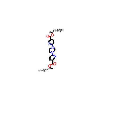 CCCCCCC[C@@H](C)OC(=O)c1ccc(N2CCN(c3ccc(C(=O)O[C@H](C)CCCCCCC)cn3)CC2)nc1